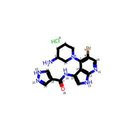 Cl.NC1CCCN(c2c(Br)cnc3[nH]cc(NC(=O)c4cn[nH]c4)c23)C1